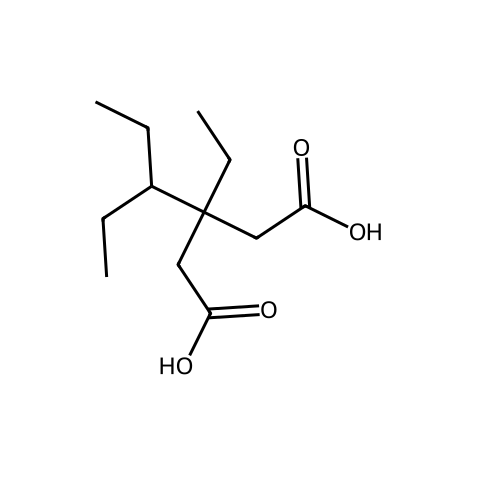 CCC(CC)C(CC)(CC(=O)O)CC(=O)O